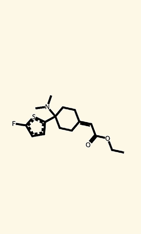 CCOC(=O)C=C1CCC(c2ccc(F)s2)(N(C)C)CC1